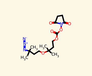 CC(C)(CCOC(C)(C)CCOC(=O)ON1C(=O)CCC1=O)N=[N+]=[N-]